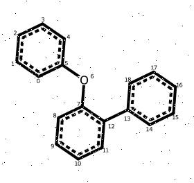 [c]1ccccc1Oc1ccccc1-c1ccccc1